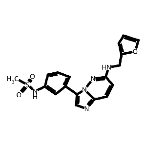 CS(=O)(=O)Nc1cccc(-c2cnc3ccc(NCc4ccco4)nn23)c1